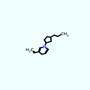 C=CC1=CN(C2CCC(CCC)C2)C=CC1